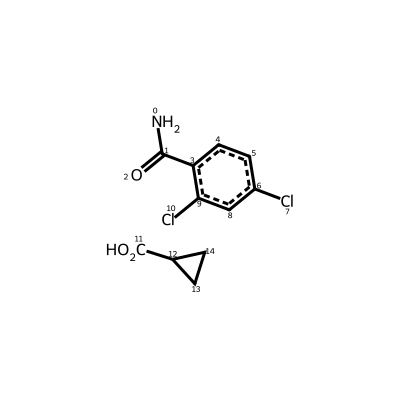 NC(=O)c1ccc(Cl)cc1Cl.O=C(O)C1CC1